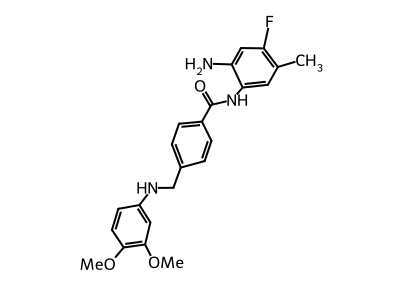 COc1ccc(NCc2ccc(C(=O)Nc3cc(C)c(F)cc3N)cc2)cc1OC